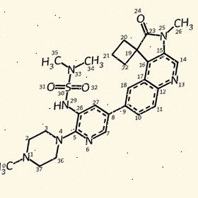 CN1CCN(c2ncc(-c3ccc4ncc5c(c4c3)C3(CCC3)C(=O)N5C)cc2NS(=O)(=O)N(C)C)CC1